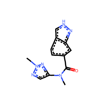 CN(C(=O)c1ccc2c[nH]nc2c1)c1cnn(C)n1